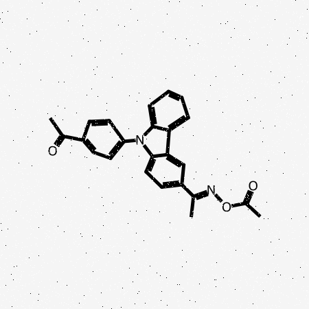 CC(=O)ON=C(C)c1ccc2c(c1)c1ccccc1n2-c1ccc(C(C)=O)cc1